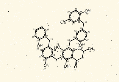 CC1CC(=O)c2c(O)c(Cc3cc(Cc4ccccc4O)ccc3O)c(O)c(Cc3cc(Cc4cc(Cl)ccc4O)ccc3O)c2O1